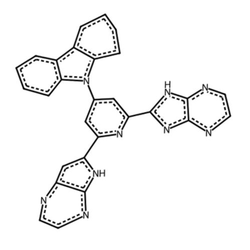 c1ccc2c(c1)c1ccccc1n2-c1cc(-c2cc3nccnc3[nH]2)nc(-c2nc3nccnc3[nH]2)c1